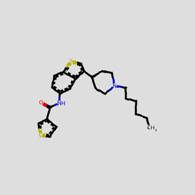 CCCCCCN1CCC(c2csc3ccc(NC(=O)c4ccsc4)cc23)CC1